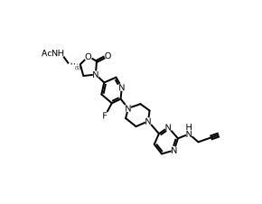 C#CCNc1nccc(N2CCN(c3ncc(N4C[C@H](CNC(C)=O)OC4=O)cc3F)CC2)n1